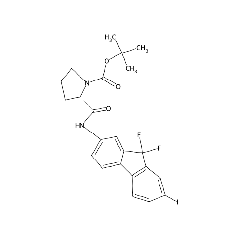 CC(C)(C)OC(=O)N1CCC[C@H]1C(=O)Nc1ccc2c(c1)C(F)(F)c1cc(I)ccc1-2